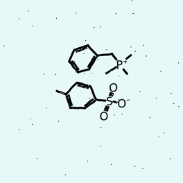 C[P+](C)(C)Cc1ccccc1.Cc1ccc(S(=O)(=O)[O-])cc1